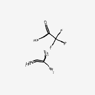 CCC(=N)N.O=C(O)C(F)(F)F